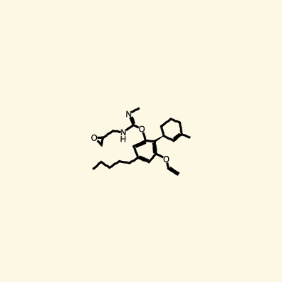 C=COc1cc(CCCCC)cc(O/C(=N\C)NCC2CO2)c1[C@@H]1C=C(C)CCC1